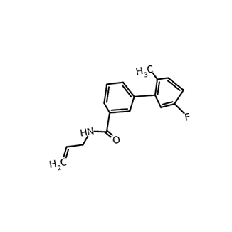 C=CCNC(=O)c1cccc(-c2cc(F)ccc2C)c1